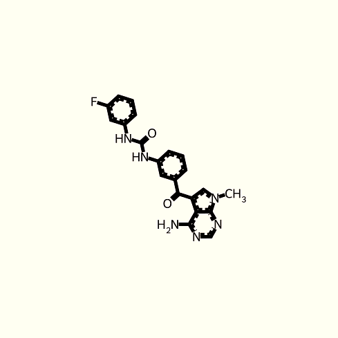 Cn1cc(C(=O)c2cccc(NC(=O)Nc3cccc(F)c3)c2)c2c(N)ncnc21